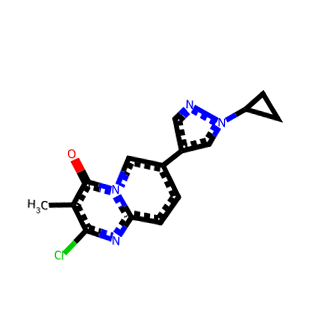 Cc1c(Cl)nc2ccc(-c3cnn(C4CC4)c3)cn2c1=O